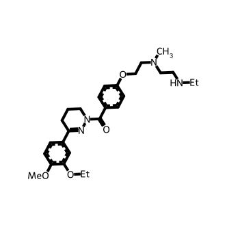 CCNCCN(C)CCOc1ccc(C(=O)N2CCCC(c3ccc(OC)c(OCC)c3)=N2)cc1